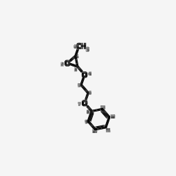 CC1OC1OCCOc1ccccc1